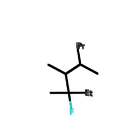 CCC(C)(F)C(C)C(C)C(C)C